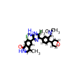 Cc1c[nH]c(=O)c2cc(F)c(-c3nc(-c4ccc(C5CCOCC5)c(CN(C)C)c4)c(F)nc3N)cc12